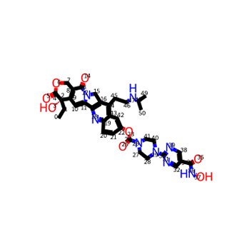 CC[C@@]1(O)C(=O)OCc2c1cc1n(c2=O)Cc2c-1nc1ccc(OC(=O)N3CCN(c4ncc(C(=O)NO)cn4)CC3)cc1c2CCNC(C)C